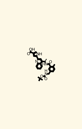 Cc1ccc(CNC(=O)OC(C)(C)C)cc1C(=O)N[C@H](C)c1cc(-c2cc(C(=O)O)c[nH]2)nc2ccccc12